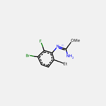 CCc1ccc(Br)c(F)c1/N=C(\N)OC